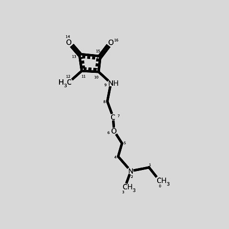 CCN(C)CCOCCNc1c(C)c(=O)c1=O